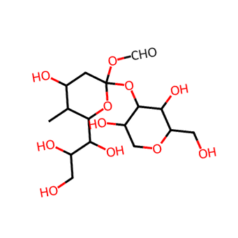 CC1C(O)CC(OC=O)(OC2C(O)COC(CO)C2O)OC1C(O)C(O)CO